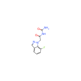 NC(=O)NC(=O)Cn1ncc2cccc(F)c21